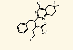 CC1(C)CCc2nc(C(Cc3ccccc3)N(CCF)C(=O)O)nc(Cl)c2C1